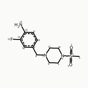 CS(=O)(=O)N1CCN(Cc2ccc(N)c(F)c2)CC1